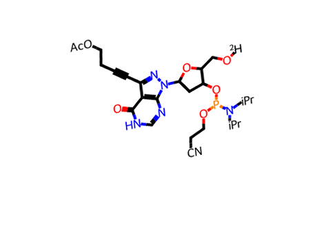 [2H]OCC1OC(n2nc(C#CCCOC(C)=O)c3c(=O)[nH]cnc32)CC1OP(OCCC#N)N(C(C)C)C(C)C